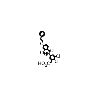 O=C(O)Cc1cc(NC(=O)c2ccc(OCCc3ccccc3)cc2C(F)(F)F)cc(Cl)c1Cl